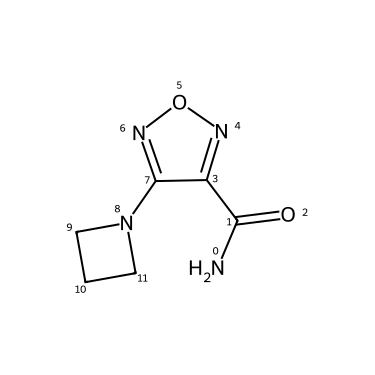 NC(=O)c1nonc1N1CCC1